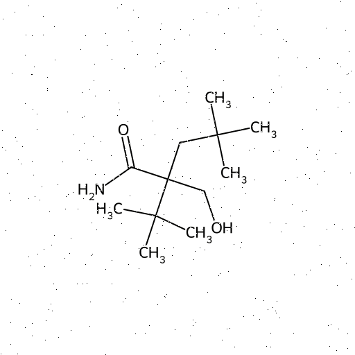 CC(C)(C)CC(CO)(C(N)=O)C(C)(C)C